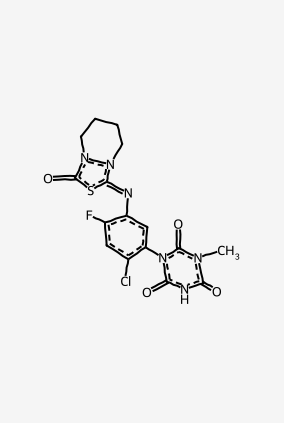 Cn1c(=O)[nH]c(=O)n(-c2cc(N=c3sc(=O)n4n3CCCC4)c(F)cc2Cl)c1=O